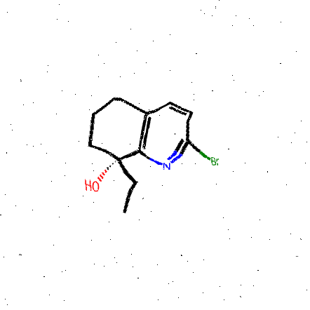 CC[C@@]1(O)CCCc2ccc(Br)nc21